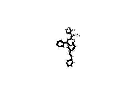 CN(c1cc(-c2ccccc2)c2cc(/C=C/c3ccccc3)ccc2n1)c1nnn[nH]1